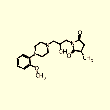 COc1ccccc1N1CCN(CC(O)CN2C(=O)CC(C)C2=O)CC1